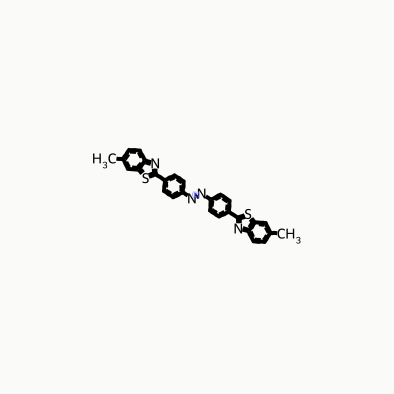 Cc1ccc2nc(-c3ccc(/N=N/c4ccc(-c5nc6ccc(C)cc6s5)cc4)cc3)sc2c1